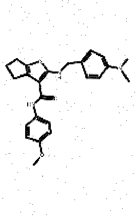 COc1ccc(NC(=O)c2c(NCc3ccc(N(C)C)cc3)sc3c2CCC3)cc1